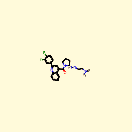 CCN(CC)CCNC[C@H]1CCCN1C(=O)c1cc(-c2ccc(F)c(F)c2)nc2ccccc12